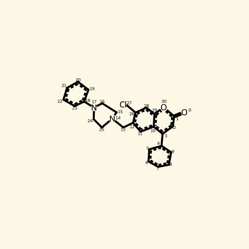 O=c1[c]c(-c2ccccc2)c2cc(CN3CCN(c4ccccc4)CC3)c(Cl)cc2o1